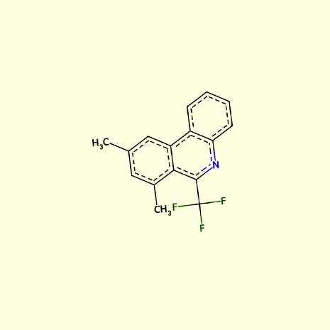 Cc1cc(C)c2c(C(F)(F)F)nc3ccccc3c2c1